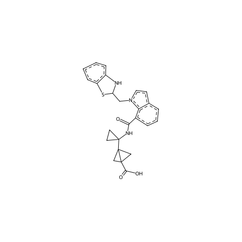 O=C(NC1(C23CC2(C(=O)O)C3)CC1)c1cccc2ccn(CC3Nc4ccccc4S3)c12